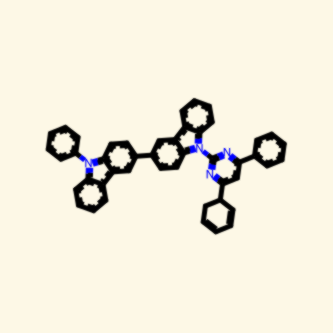 C1=CCC(c2cc(-c3ccccc3)nc(-n3c4ccccc4c4cc(-c5ccc6c(c5)c5ccccc5n6-c5ccccc5)ccc43)n2)C=C1